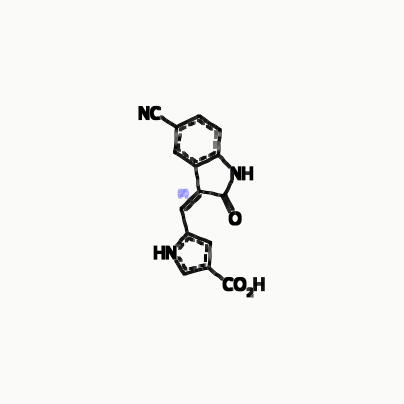 N#Cc1ccc2c(c1)/C(=C/c1cc(C(=O)O)c[nH]1)C(=O)N2